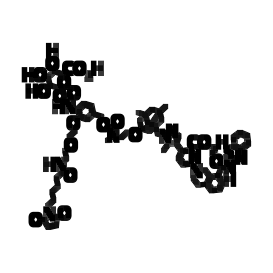 Cc1c(-c2ccc(N3CCc4cccc(C(=O)Nc5nc6ccccc6s5)c4C3)nc2C(=O)O)cnn1CC12CC3(C)CC(C)(C1)CC(OCCN(C)C(=O)OCc1ccc(NC(=O)O[C@@H]4O[C@H](C(=O)O)[C@H](O)[C@H](O)[C@@H]4O)c(OCCOCCNC(=O)CCCCCN4C(=O)C=CC4=O)c1)(C3)C2